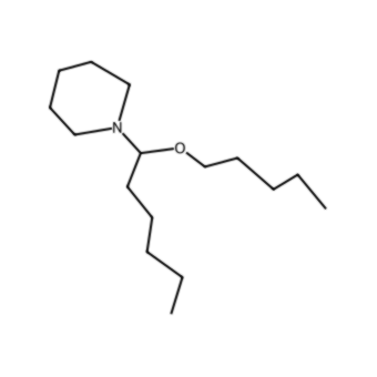 CCCCCOC(CCCCC)N1CCCCC1